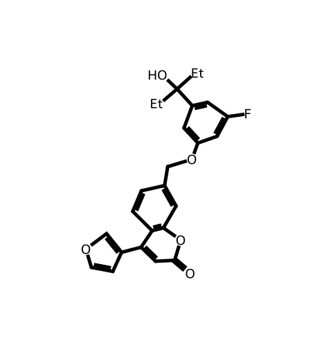 CCC(O)(CC)c1cc(F)cc(OCc2ccc3c(-c4ccoc4)cc(=O)oc3c2)c1